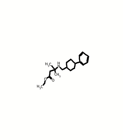 CCOC(=O)CC(C)(C)NCC1CCC(c2ccccc2)CC1